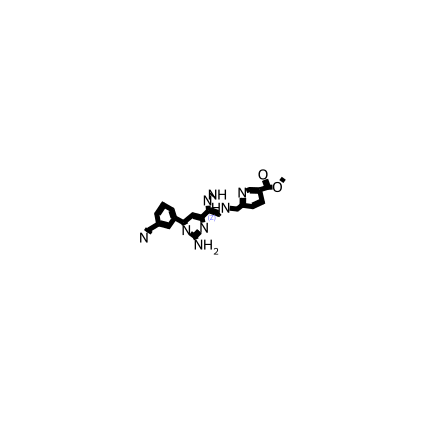 COC(=O)c1ccc(CN/C=C(\N=N)c2cc(-c3cccc(C#N)c3)nc(N)n2)nc1